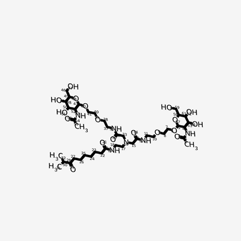 CC(=O)NC1C(OCCOCCNC(=O)CN(CCNC(=O)CCCCCCC(=O)C(C)C)CC(=O)NCCOCCOC2OC(CO)C(O)C(O)C2NC(C)=O)OC(CO)C(O)C1O